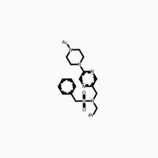 CC(=O)N1CCN(c2cnc(CN(CC(C)C)S(=O)(=O)Cc3ccccc3)cn2)CC1